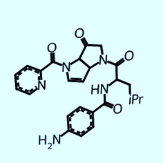 CC(C)CC(NC(=O)c1ccc(N)cc1)C(=O)N1CC(=O)C2C1C=CN2C(=O)c1ccccn1